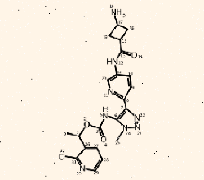 C[C@@H](OC(=O)Nc1c(-c2ccc(NC(=O)C3CC(N)C3)cn2)nnn1C)c1cccnc1Cl